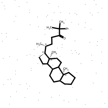 CC(C)C(C)(C)C(=O)CC[C@@H](C)[C@H]1CCC2C3CCC4CCCC[C@]4(C)C3CC[C@@]21C